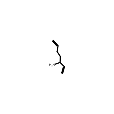 C=CCCC(N)C=C